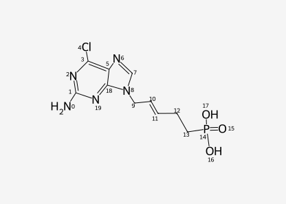 Nc1nc(Cl)c2ncn(CC=CCCP(=O)(O)O)c2n1